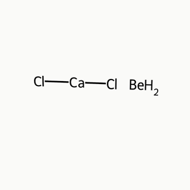 [BeH2].[Cl][Ca][Cl]